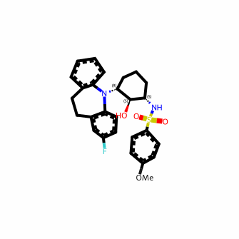 COc1ccc(S(=O)(=O)N[C@H]2CCC[C@@H](N3c4ccccc4CCc4cc(F)ccc43)[C@@H]2O)cc1